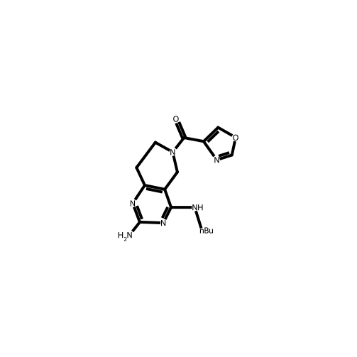 CCCCNc1nc(N)nc2c1CN(C(=O)c1cocn1)CC2